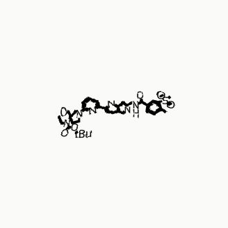 Cc1ccc(C(=O)NCc2cc3nc(-c4cccc(N5CCC6(COCCN6C(=O)OC(C)(C)C)C5)n4)ccc3cn2)cc1S(C)(=O)=O